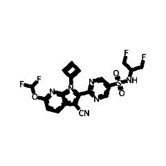 N#Cc1c(-c2ncc(S(=O)(=O)NC(CF)CF)cn2)n(C2=CC=C2)c2nc(OC(F)F)ccc12